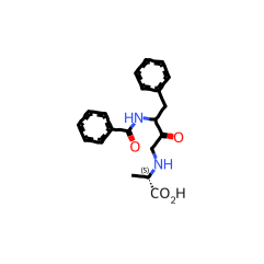 C[C@H](NCC(=O)C(Cc1ccccc1)NC(=O)c1ccccc1)C(=O)O